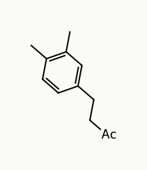 CC(=O)CCc1ccc(C)c(C)c1